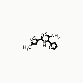 Cc1cc(C(=O)NC(C(N)=S)c2ccco2)sn1